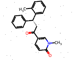 Cc1ccccc1[C@H](CC(=O)c1ccc(=O)n(C)c1)c1ccccc1